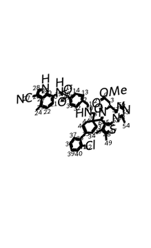 COC(=O)C[C@@H]1N=C(C2(C(=O)NCc3ccc(S(=O)(=O)Nc4ccc(C)c5c(C#N)c[nH]c45)cc3)C=CC(c3ccccc3Cl)=CC2)c2c(sc(C)c2C)-n2c(C)nnc21